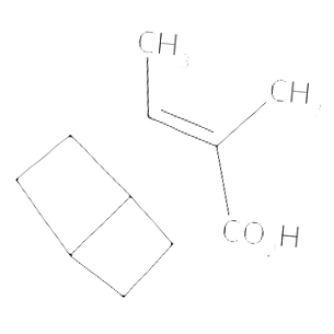 C1CC2CCC12.CC=C(C)C(=O)O